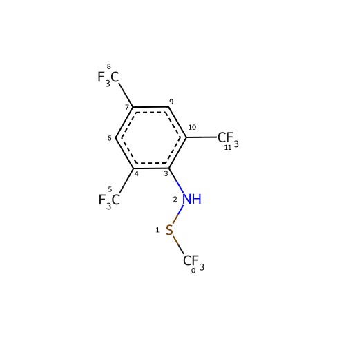 FC(F)(F)SNc1c(C(F)(F)F)cc(C(F)(F)F)cc1C(F)(F)F